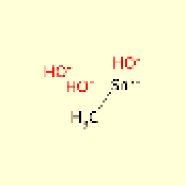 [CH3][Sn+3].[OH-].[OH-].[OH-]